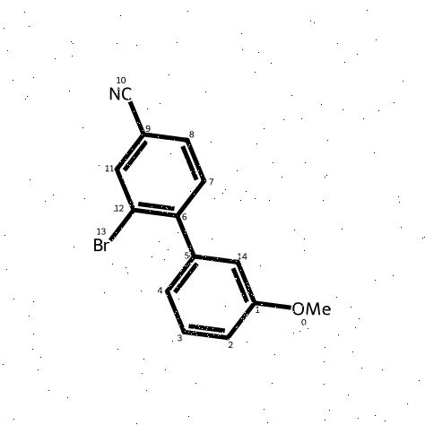 COc1cccc(-c2ccc(C#N)cc2Br)c1